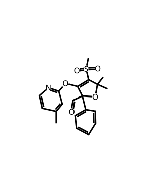 Cc1ccnc(OC2=C(S(C)(=O)=O)C(C)(C)OC2(C=O)c2ccccc2)c1